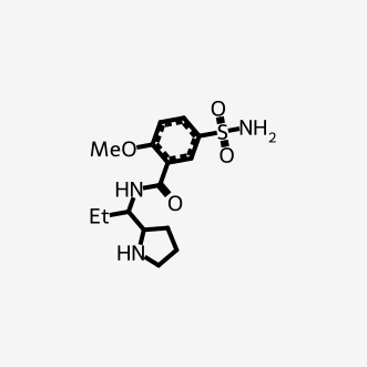 CCC(NC(=O)c1cc(S(N)(=O)=O)ccc1OC)C1CCCN1